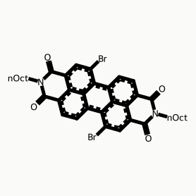 CCCCCCCCN1C(=O)c2ccc3c4c(Br)cc5c6c(ccc(c7c(Br)cc(c2c37)C1=O)c64)C(=O)N(CCCCCCCC)C5=O